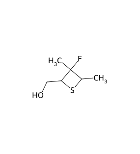 CC1SC(CO)C1(C)F